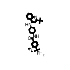 CN(C)c1cc(C(=O)NC2CCC(Nc3cc(C(C)(C)C)nc4ccccc34)CC2)ccc1C(C)(C)P